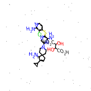 Nc1nc(N2CCC3(CC=C(C4CC4)[C@H]3N)CC2)cnc1Sc1ccnc(N)c1Cl.O=C(O)C(O)C(O)C(=O)O